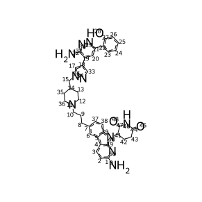 Nc1ccc2c3cc(CCCN4CCC(Cn5cc(-c6cc(-c7ccccc7O)nnc6N)cn5)CC4)ccc3n(C3CCC(=O)NC3=O)c2n1